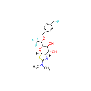 CN(C)C1=N[C@@H]2[C@@H](O)[C@H](O)[C@@H]([C@@H](OCc3ccc(CF)cc3)C(F)(F)F)O[C@@H]2S1